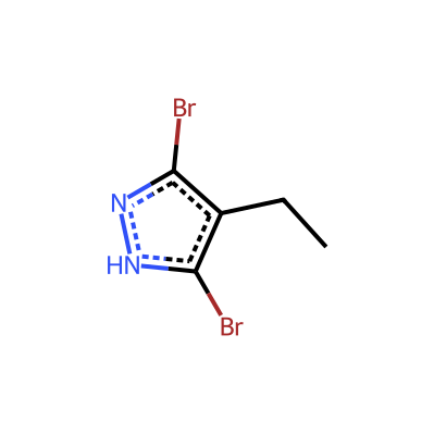 CCc1c(Br)n[nH]c1Br